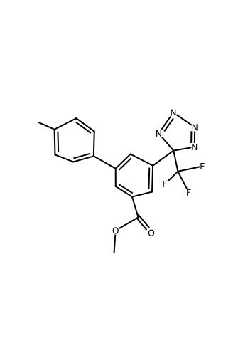 COC(=O)c1cc(-c2ccc(C)cc2)cc(C2(C(F)(F)F)N=NN=N2)c1